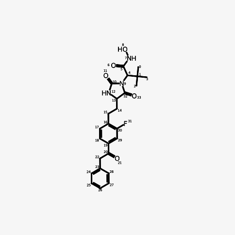 CC(C)(C)C(C(=O)NO)N1C(=O)NC(CCc2ccc(C(=O)Cc3ccccc3)cc2F)C1=O